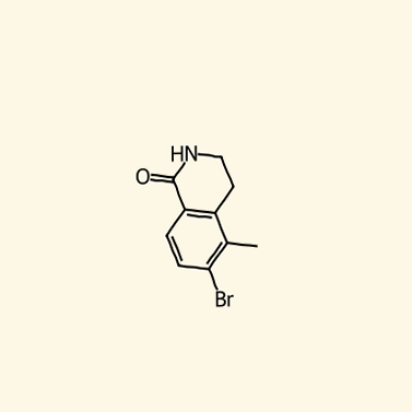 Cc1c(Br)ccc2c1CCNC2=O